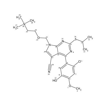 COc1cc(Cl)c(-c2nc(SC(C)C)nc3c2c(C#N)cn3COCC[Si](C)(C)C)cc1O